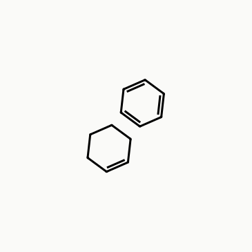 C1=CCCCC1.c1ccccc1